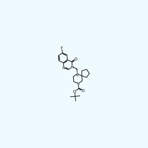 CC(C)(C)OC(=O)N1CC[C@@H](Cn2cnc3ccc(F)cc3c2=O)C2(CCCC2)C1